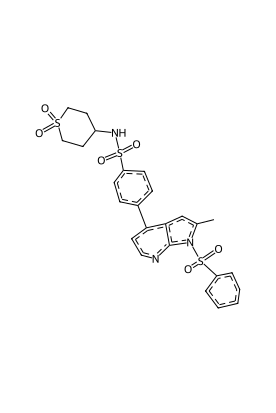 Cc1cc2c(-c3ccc(S(=O)(=O)NC4CCS(=O)(=O)CC4)cc3)ccnc2n1S(=O)(=O)c1ccccc1